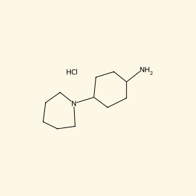 Cl.NC1CCC(N2CCCCC2)CC1